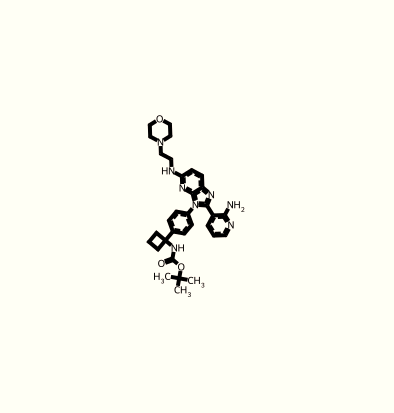 CC(C)(C)OC(=O)NC1(c2ccc(-n3c(-c4cccnc4N)nc4ccc(NCCN5CCOCC5)nc43)cc2)CCC1